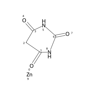 O=C1CC(=O)NC(=O)N1.[Zn]